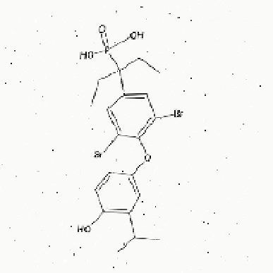 CCC(CC)(c1cc(Br)c(Oc2ccc(O)c(C(C)C)c2)c(Br)c1)P(=O)(O)O